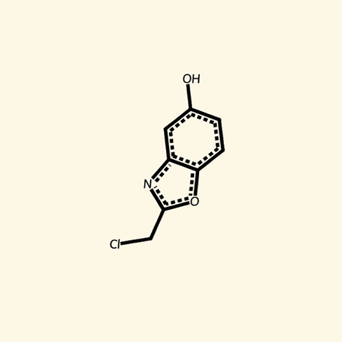 Oc1ccc2oc(CCl)nc2c1